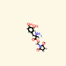 CC(N)(Cc1ccc(O)c(O)c1)C(=O)OCN1C(=O)CCC1=O